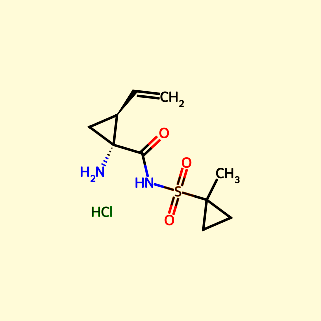 C=C[C@@H]1C[C@]1(N)C(=O)NS(=O)(=O)C1(C)CC1.Cl